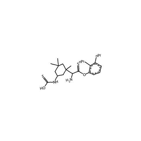 CCCc1cccc(OC(=S)C(N)C2(C)CC(NC(O)=S)CC(C)(C)C2)c1CCC